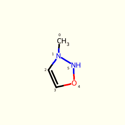 CN1C=CON1